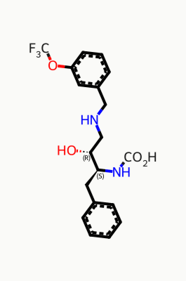 O=C(O)N[C@@H](Cc1ccccc1)[C@H](O)CNCc1cccc(OC(F)(F)F)c1